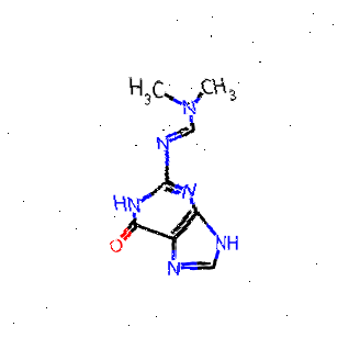 CN(C)C=Nc1nc2[nH]cnc2c(=O)[nH]1